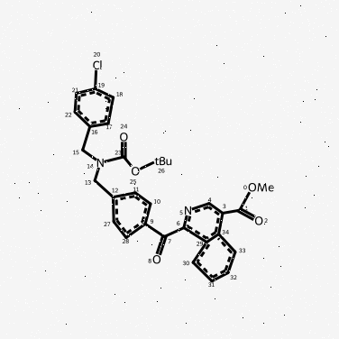 COC(=O)c1cnc(C(=O)c2ccc(CN(Cc3ccc(Cl)cc3)C(=O)OC(C)(C)C)cc2)c2ccccc12